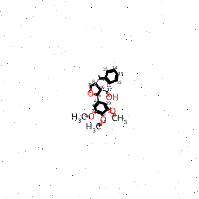 COc1cc([C@H]2OC[C@H](Cc3ccccc3)[C@@H]2CO)cc(OC)c1OC